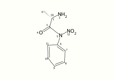 C[C@H](N)C(=O)N(c1ccccc1)[N+](=O)[O-]